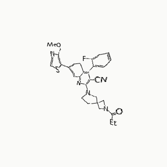 CCC(=O)N1CC2(CCN(c3nc4c(c(-c5ccccc5F)c3C#N)CCC(c3scnc3COC)=C4)C2)C1